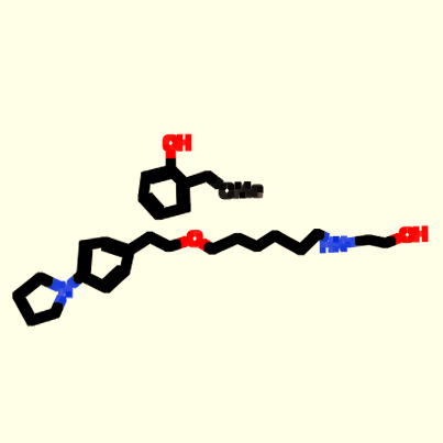 COCc1ccccc1O.OCCNCCCCCCOCCc1ccc(N2CCCC2)cc1